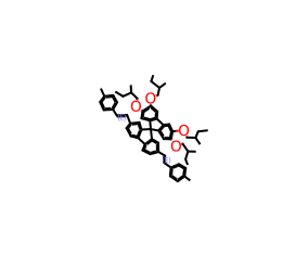 CCC(C)COc1cc2c(cc1OCC(C)CC)C1(c3cc(/C=C/c4ccc(C)cc4)ccc3-c3ccc(/C=C/c4ccc(C)cc4)cc31)c1cc(OCC(C)CC)c(OCC(C)CC)cc1-2